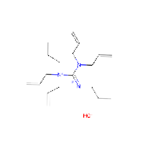 C=CC/N=C(\N(CC=C)CC=C)[N+](CC=C)(CC=C)CC=C.[OH-]